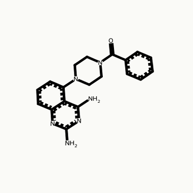 Nc1nc(N)c2c(N3CCN(C(=O)c4ccccc4)CC3)cccc2n1